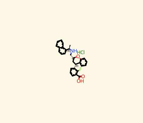 C[C@@H](NC[C@H]1C[C@@H](c2cccc(C(=O)O)c2F)c2ccccc2O1)c1cccc2ccccc12.Cl